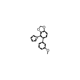 COc1cc[c]c(-c2ccc3c(c2-n2cccc2)OCO3)c1